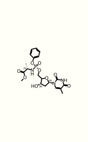 COC(=O)[C@H](C)NP(=O)(OCC1O[C@@H](n2cc(C)c(=O)[nH]c2=O)C[C@H]1O)Oc1ccccc1